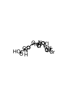 Cc1nc2c(OCc3c(Cl)ccc(N(C)C(=O)CNC(=O)C=Cc4ccc(NC(=O)CCC(=O)O)cc4)c3Cl)cccn2c1Br